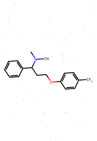 CN(C#N)C(CCOc1ccc(C(F)(F)F)cc1)c1ccccc1